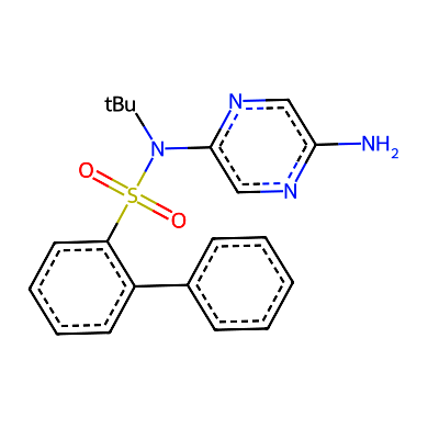 CC(C)(C)N(c1cnc(N)cn1)S(=O)(=O)c1ccccc1-c1ccccc1